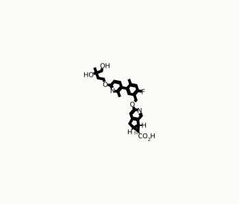 Cc1cc(F)c(COc2cc3c(cn2)[C@H]2[C@@H](C3)[C@@H]2C(=O)O)cc1-c1ccc(OCCC(C)(O)CO)nc1C